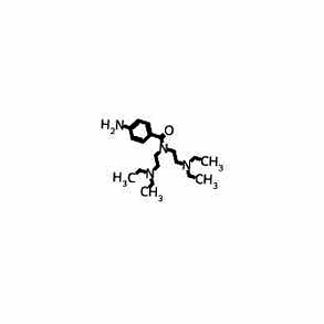 CCN(CC)CCN(CCN(CC)CC)C(=O)c1ccc(N)cc1